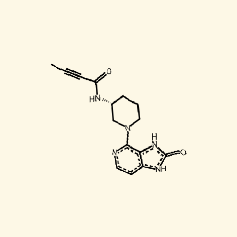 CC#CC(=O)N[C@@H]1CCCN(c2nccc3[nH]c(=O)[nH]c23)C1